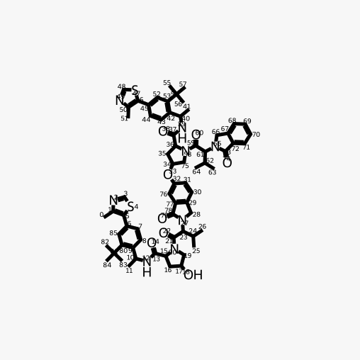 Cc1ncsc1-c1ccc(C(C)NC(=O)C2CC(O)CN2C(=O)C(C(C)C)N2Cc3ccc(OC4CC(C(=O)NC(C)c5ccc(-c6scnc6C)cc5C(C)(C)C)N(C(=O)C(C(C)C)N5Cc6ccccc6C5=O)C4)cc3C2=O)c(C(C)(C)C)c1